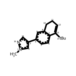 Cn1cc(-c2ccc3c(c2)CCC=C3C(C)(C)C)cn1